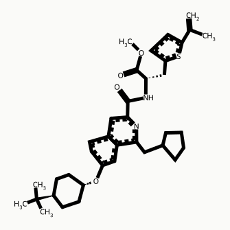 C=C(C)c1ccc(C[C@H](NC(=O)c2cc3ccc(O[C@H]4CC[C@H](C(C)(C)C)CC4)cc3c(CC3CCCC3)n2)C(=O)OC)s1